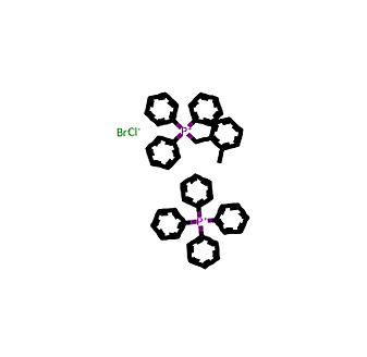 Cc1ccccc1C[P+](c1ccccc1)(c1ccccc1)c1ccccc1.[Br-].[Cl-].c1ccc([P+](c2ccccc2)(c2ccccc2)c2ccccc2)cc1